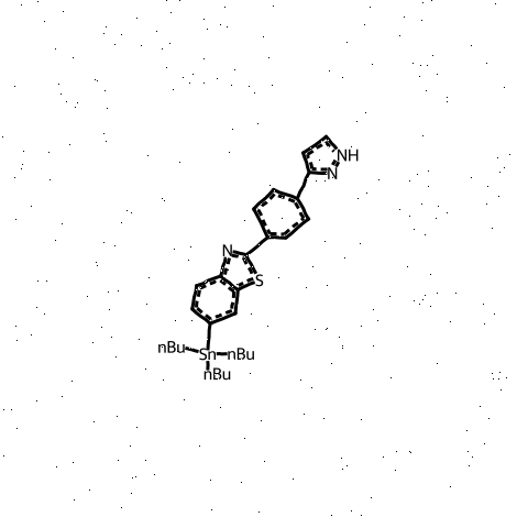 CCC[CH2][Sn]([CH2]CCC)([CH2]CCC)[c]1ccc2nc(-c3ccc(-c4cc[nH]n4)cc3)sc2c1